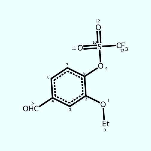 CCOc1cc(C=O)ccc1OS(=O)(=O)C(F)(F)F